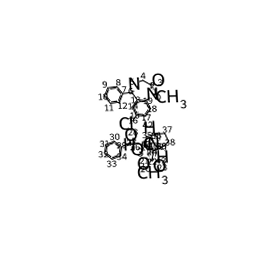 CN1C(=O)CN=C(c2ccccc2)c2cc(Cl)ccc21.COC(=O)[C@H]1[C@@H](OC(=O)c2ccccc2)C[C@@H]2CC[C@H]1N2C